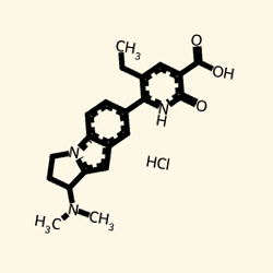 CCc1cc(C(=O)O)c(=O)[nH]c1-c1ccc2c(c1)cc1n2CCC1N(C)C.Cl